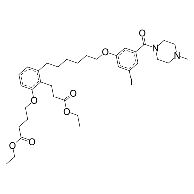 CCOC(=O)CCCOc1cccc(CCCCCCOc2cc(I)cc(C(=O)N3CCN(C)CC3)c2)c1CCC(=O)OCC